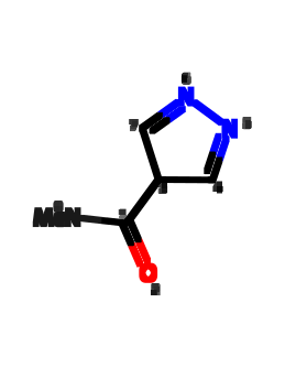 CNC(=O)C1C=NN=C1